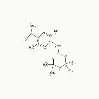 COC(=O)c1cc([N+](=O)[O-])c(NC2CC(C)(C)CC(C)(C)C2)cc1C